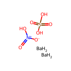 O=S(=O)(O)O.O=[N+]([O-])O.[BaH2].[BaH2]